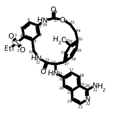 CCS(=O)(=O)c1ccc2cc1CNC(=O)C(Nc1ccc3c(N)nccc3c1)c1ccc(c(C)c1)CCOC(=O)N2